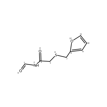 O=CNC(=O)CSCc1ccco1